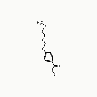 COCCOCOc1ccc(C(=O)CBr)cc1